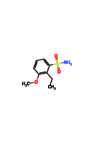 CCc1c(OC)cccc1S(N)(=O)=O